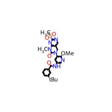 COc1ncc(NC(=O)c2cccc(C(C)(C)C)c2)cc1N1Cc2cnc(S(C)(=O)=O)nc2N(C)C1=O